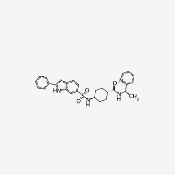 C[C@@H](NC(=O)[C@H]1CC[C@H](NS(=O)(=O)c2ccc3cc(-c4ccccc4)[nH]c3c2)CC1)c1ccccn1